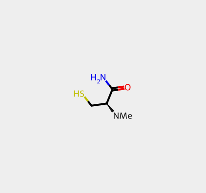 CN[C@@H](CS)C(N)=O